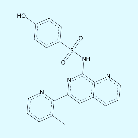 Cc1cccnc1-c1cc2cccnc2c(NS(=O)(=O)c2ccc(O)cc2)n1